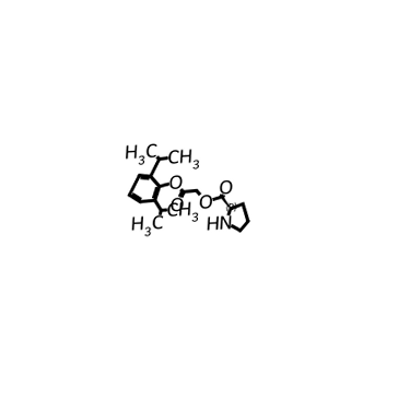 CC(C)c1cccc(C(C)C)c1OC(=O)COC(=O)[C@H]1CCCN1